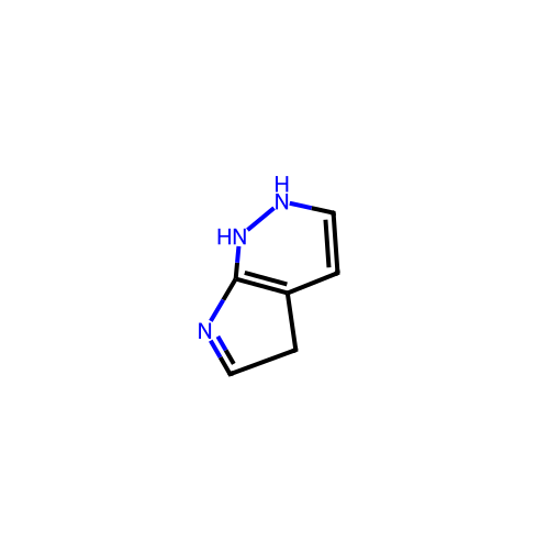 C1=CC2=C(N=CC2)NN1